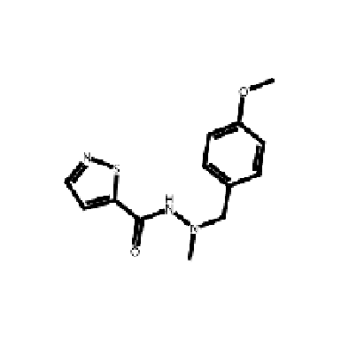 COc1ccc(CN(C)NC(=O)c2ccns2)cc1